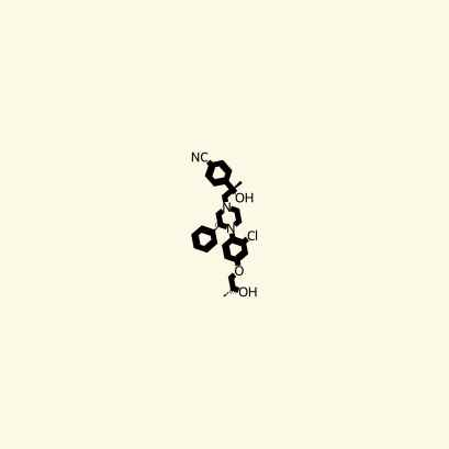 C[C@@H](O)COc1ccc(N2CCN(C[C@@](C)(O)c3ccc(C#N)cc3)C[C@H]2c2ccccc2)c(Cl)c1